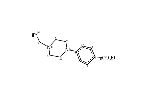 CCOC(=O)c1ccc(N2CCN(C[C](C)C)CC2)cc1